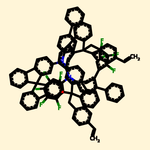 C=Cc1ccc(CC2(c3c(F)c(F)c(F)c(F)c3F)c3ccccc3-c3ccc(N(c4ccc(-c5ccccc5)cc4)c4ccc5c(c4)C4(c6ccccc6-5)c5ccccc5-c5ccc(N6c7ccc(-c8ccccc8)c(c7)-c7c(F)c(F)c(F)c(c7F)C7(Cc8ccc(C=C)cc8)c8ccccc8-c8ccc6cc87)cc54)cc32)cc1